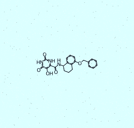 O=C(NC1CCCc2c(OCc3ccccc3)cccc21)c1[nH]c(=O)[nH]c(=O)c1O